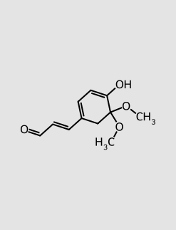 COC1(OC)CC(C=CC=O)=CC=C1O